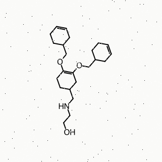 OCCNCC1CCC(OCC2CC=CCC2)=C(OCC2CC=CCC2)C1